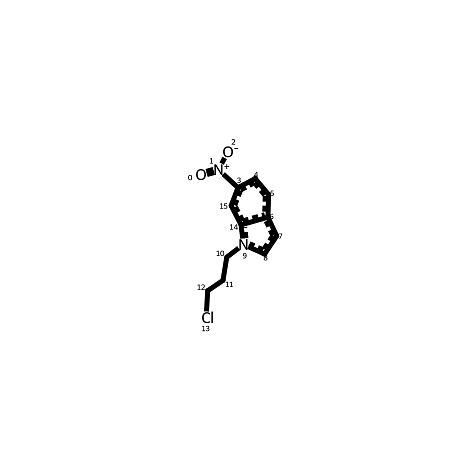 O=[N+]([O-])c1ccc2ccn(CCCCl)c2c1